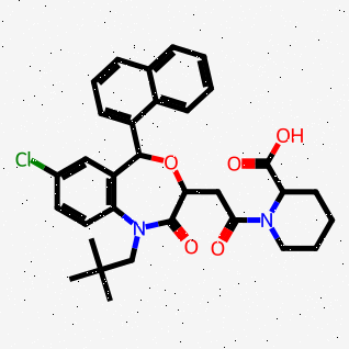 CC(C)(C)CN1C(=O)C(CC(=O)N2CCCCC2C(=O)O)OC(c2cccc3ccccc23)c2cc(Cl)ccc21